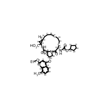 CCOc1cc(O[C@@H]2C[C@H]3C(=O)N[C@]4(C(=O)O)C[C@H]4CCCCCCC[C@H](NC(=O)OC4CCCC4)C(=O)N3C2)c2cccc(C)c2n1